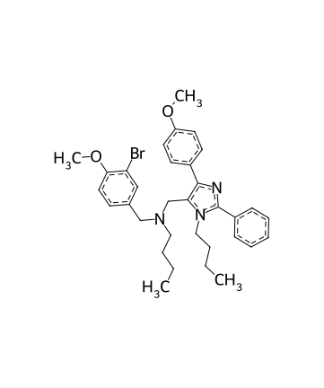 CCCCN(Cc1ccc(OC)c(Br)c1)Cc1c(-c2ccc(OC)cc2)nc(-c2ccccc2)n1CCCC